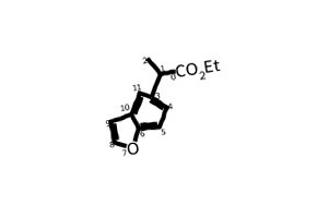 CCOC(=O)C(C)c1ccc2occc2c1